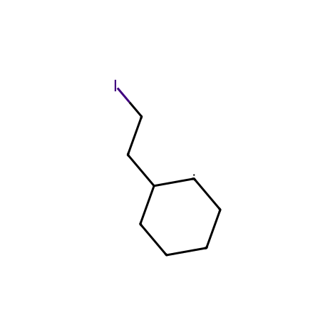 ICCC1[CH]CCCC1